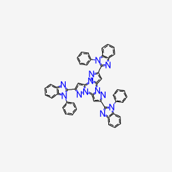 c1ccc(-n2c(-c3cc4n(n3)c3cc(-c5nc6ccccc6n5-c5ccccc5)nn3c3cc(-c5nc6ccccc6n5-c5ccccc5)nn43)nc3ccccc32)cc1